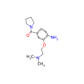 CN(C)CCOc1cc(C(=O)N2CCCC2)ccc1N